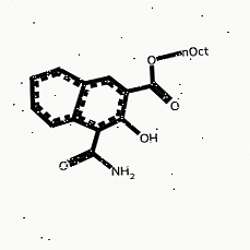 CCCCCCCCOC(=O)c1cc2ccccc2c(C(N)=O)c1O